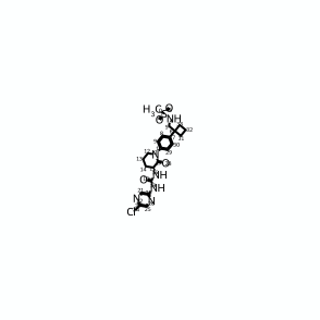 CS(=O)(=O)NCC1(c2ccc(N3CCC[C@H](NC(=O)Nc4cnc(Cl)cn4)C3=O)cc2)CCC1